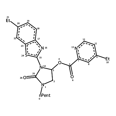 CCCCCN1CC(OC(=O)c2cc(CC)ccn2)N(c2nc3ccc(CC)cc3s2)C1=O